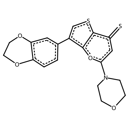 S=c1cc(N2CCOCC2)oc2c(-c3ccc4c(c3)OCCO4)csc12